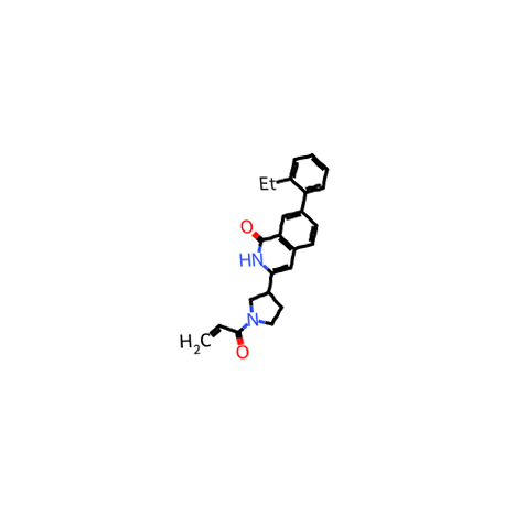 C=CC(=O)N1CCC(c2cc3ccc(-c4ccccc4CC)cc3c(=O)[nH]2)C1